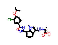 COC(=O)[C@H](C)NCC1=CN(C)C2C(c3noc(-c4ccc(OC(C)C)c(Cl)c4)n3)=CC=CC12